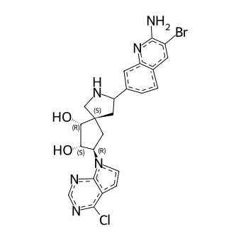 Nc1nc2cc(C3C[C@@]4(CN3)C[C@@H](n3ccc5c(Cl)ncnc53)[C@H](O)[C@@H]4O)ccc2cc1Br